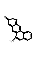 Nc1cc2ccccc2c2cc3c(cc12)=CC(=O)CC=3